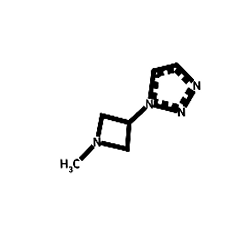 CN1CC(n2ccnn2)C1